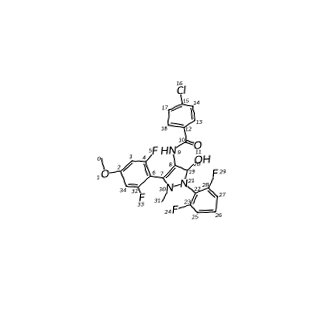 COc1cc(F)c(C2=C(NC(=O)c3ccc(Cl)cc3)C(O)N(c3c(F)cccc3F)N2C)c(F)c1